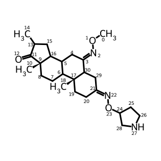 CO/N=C1\CC2C(CC[C@]3(C)C(=O)C(C)CC23)[C@@]2(C)CCC(=NOC3CCNC3)CC12